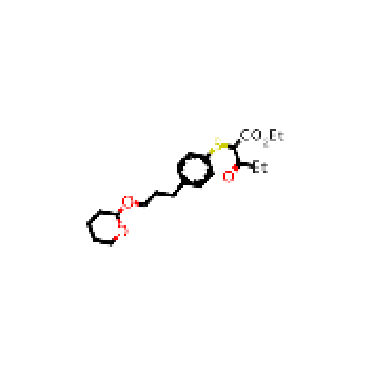 CCOC(=O)C(Sc1ccc(CCCOC2CCCCO2)cc1)C(=O)CC